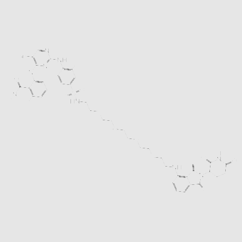 Cc1cc(S(=O)(=O)NCCOCCOCCOCCOCCNc2cccc3c2C(=O)N(C2CCC(=O)NC2=O)C3=O)ccc1Nc1ncc(Br)c(Nc2cccc(F)c2C(N)=O)n1